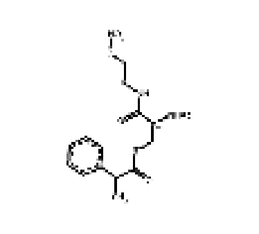 CC(=O)N[C@@H](CSC(=O)C(C)c1ccccc1)C(=O)NCCO[N+](=O)[O-]